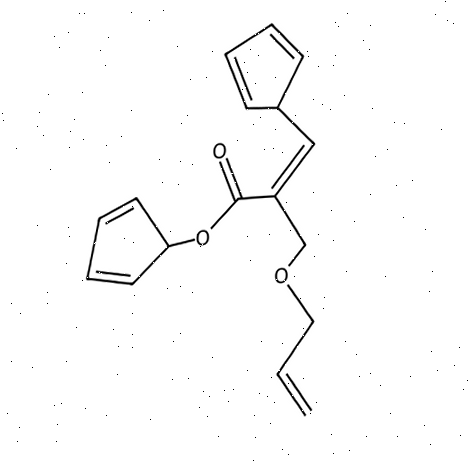 C=CCOCC(=CC1C=CC=C1)C(=O)OC1C=CC=C1